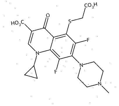 CN1CCN(c2c(F)c(SCC(=O)O)c3c(=O)c(C(=O)O)cn(C4CC4)c3c2F)CC1